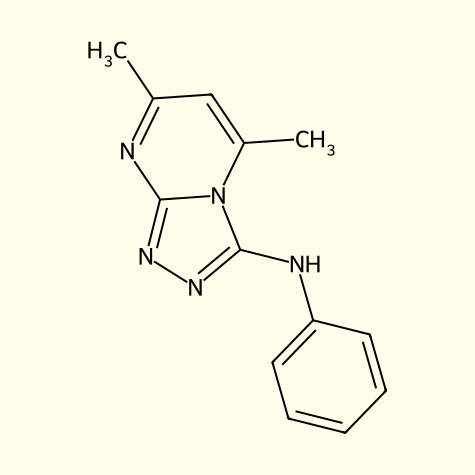 Cc1cc(C)n2c(Nc3ccccc3)nnc2n1